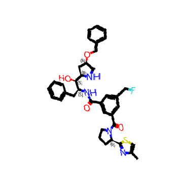 Cc1csc([C@H]2CCCN2C(=O)c2cc(CF)cc(C(=O)N[C@@H](Cc3ccccc3)[C@@H](O)[C@H]3C[C@@H](OCc4ccccc4)CN3)c2)n1